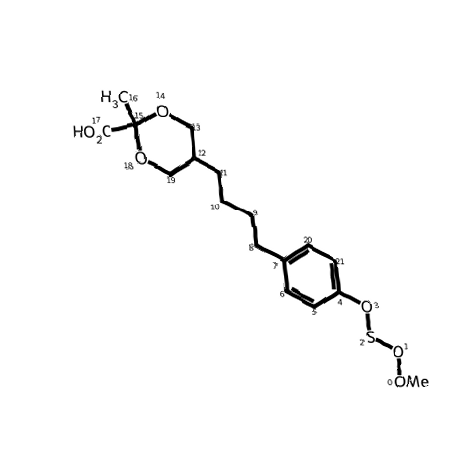 COOSOc1ccc(CCCCC2COC(C)(C(=O)O)OC2)cc1